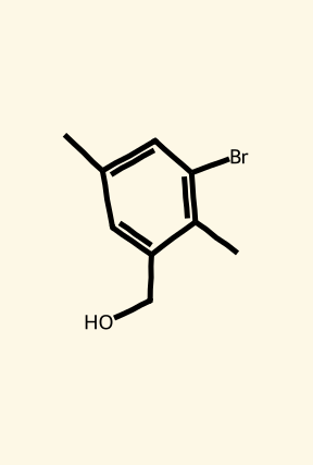 Cc1cc(Br)c(C)c(CO)c1